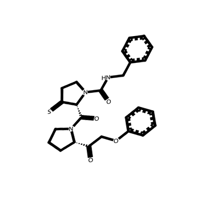 O=C(COc1ccccc1)[C@@H]1CCCN1C(=O)[C@@H]1C(=S)CCN1C(=O)NCc1ccccc1